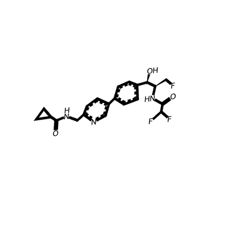 O=C(N[C@H](CF)[C@H](O)c1ccc(-c2ccc(CNC(=O)C3CC3)nc2)cc1)C(F)F